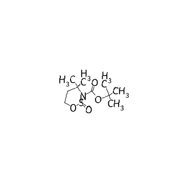 CC(C)(C)OC(=O)N1S(=O)OCCC1(C)C